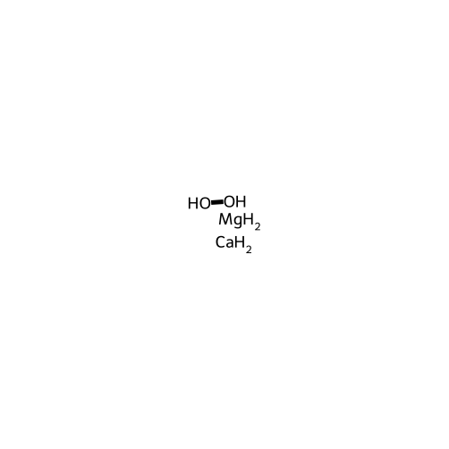 OO.[CaH2].[MgH2]